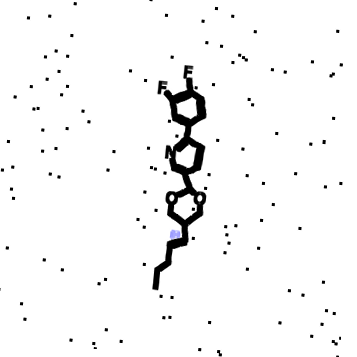 CCC/C=C/C1COC(c2ccc(-c3ccc(F)c(F)c3)nc2)OC1